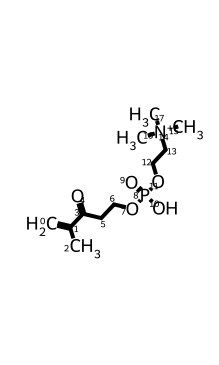 C=C(C)C(=O)CCOP(=O)(O)OCC[N+](C)(C)C